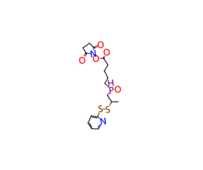 CC(C[PH](=O)CCCCC(=O)ON1C(=O)CCC1=O)SSc1ccccn1